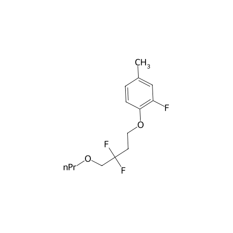 CCCOCC(F)(F)CCOc1ccc(C)cc1F